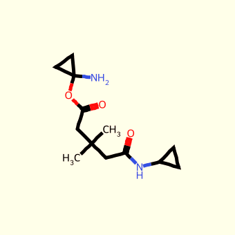 CC(C)(CC(=O)NC1CC1)CC(=O)OC1(N)CC1